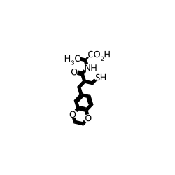 C[C@H](NC(=O)C(CS)Cc1ccc2c(c1)OCCO2)C(=O)O